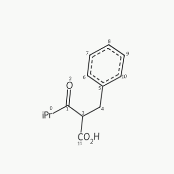 CC(C)C(=O)C(Cc1ccccc1)C(=O)O